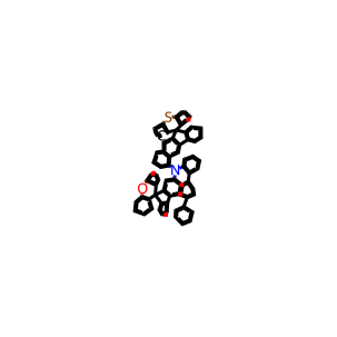 c1ccc(-c2ccc(-c3ccccc3N(c3ccc4c(c3)C3(c5ccccc5Oc5ccccc53)c3ccccc3-4)c3cccc4cc5c(cc34)-c3ccccc3C53c4ccccc4Sc4ccccc43)cc2)cc1